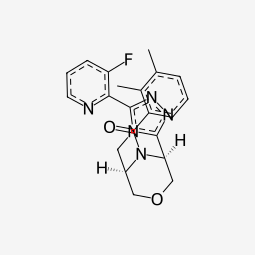 Cc1cccc(C(=O)N2[C@H]3COC[C@@H]2c2nnc(-c4ncccc4F)n2C3)c1C